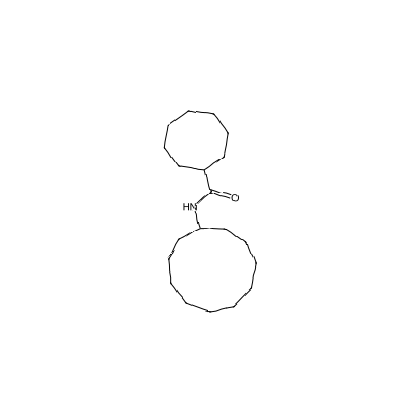 O=C(NC1CCCCCCCCCC1)C1CCCCCCC1